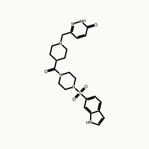 O=C(C1CCN(Cc2ccc(=O)[nH]n2)CC1)N1CCN(S(=O)(=O)c2ccc3cc[nH]c3c2)CC1